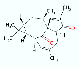 CC1=C[C@@H]2C(=O)[C@]3(C=C(C)C(=O)[C@H]3C1)[C@H](C)C[C@@H]1[C@H]2C1(C)C